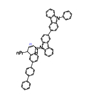 CCCC(/C=C\Nn1c2ccccc2c2cc(-c3ccc4c(c3)c3ccccc3n4-c3ccccc3)ccc21)c1cccc(-c2ccc(-c3ccccc3)cc2)c1